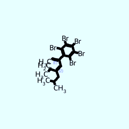 C=C(C)/C(=C\C(=C/C)c1c(Br)c(Br)c(Br)c(Br)c1Br)CC(C)C